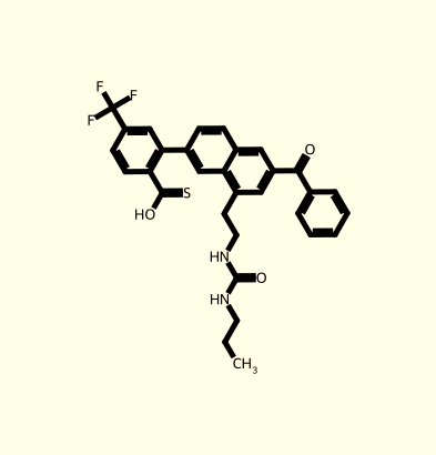 CCCNC(=O)NCCc1cc(C(=O)c2ccccc2)cc2ccc(-c3cc(C(F)(F)F)ccc3C(O)=S)cc12